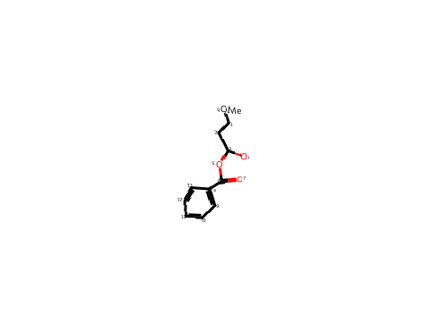 COCCC([O])OC(=O)c1ccccc1